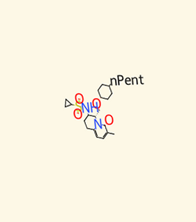 CCCCCC1CCC(OC[C@H]2[C@@H](NS(=O)(=O)C3CC3)CCc3ccc(C)c(=O)n32)CC1